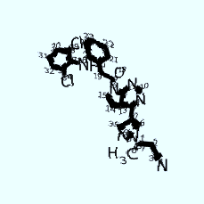 C[C@@H](CC#N)n1cc(-c2ncnc3c2ccn3C(=O)Cc2ccccc2Nc2c(Cl)cccc2Cl)cn1